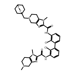 CN1CCc2c(nc(C(=O)Nc3cccc(-c4cccc(NC(=O)c5nc6c(n5C)CCN(CC57CCC(CC5)CC7)C6)c4Cl)c3Cl)n2C)C1